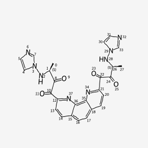 C[C@H](Nn1ccnc1)C(=O)C(=O)c1ccc2ccc3ccc(C(=O)C(=O)[C@H](C)Nn4ccnc4)nc3c2n1